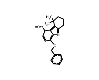 CCCCCCCCC1C=CC(OCc2ccccc2)=C2N=C3CCCC(C)(C)C3=C21